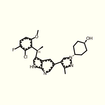 COc1ccc(F)c(Cl)c1[C@@H](C)c1c[nH]c2ncc(-c3cn([C@H]4CC[C@H](O)CC4)nc3C)cc12